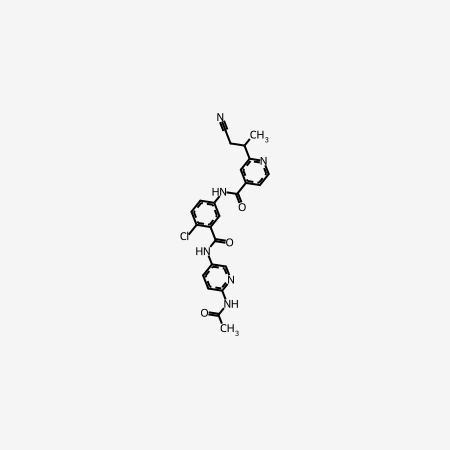 CC(=O)Nc1ccc(NC(=O)c2cc(NC(=O)c3ccnc(C(C)CC#N)c3)ccc2Cl)cn1